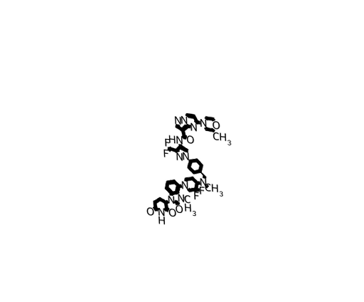 C[C@H]1CN(c2ccn3ncc(C(=O)Nc4cn([C@H]5CC[C@H](CN(C)C6CCN(c7cccc8c7n(C)c(=O)n8C7CCC(=O)NC7=O)CC6(F)F)CC5)nc4C(F)F)c3n2)CCO1